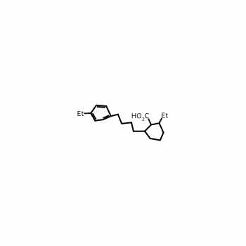 CCc1ccc(CCCCC2CCCC(CC)C2C(=O)O)cc1